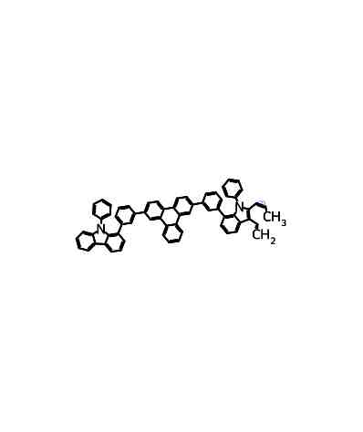 C=Cc1c(/C=C\C)n(-c2ccccc2)c2c(-c3cccc(-c4ccc5c6ccc(-c7cccc(-c8cccc9c%10ccccc%10n(-c%10ccccc%10)c89)c7)cc6c6ccccc6c5c4)c3)cccc12